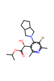 Cc1nc(C)c([C@H](O)C(=O)OC(C)C)c(N2CC3CCCC3C2)c1Br